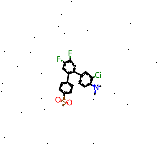 CN(C)c1ccc(-c2cc(F)c(F)cc2-c2ccc(S(C)(=O)=O)cc2)cc1Cl